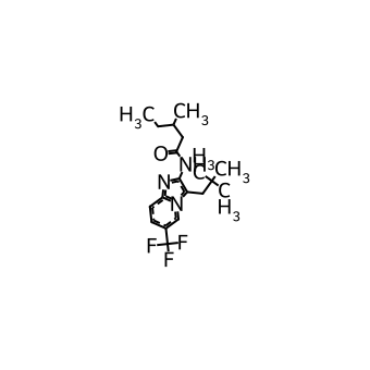 CCC(C)CC(=O)Nc1nc2ccc(C(F)(F)F)cn2c1CC(C)(C)C